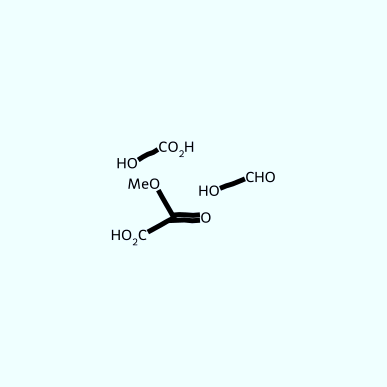 COC(=O)C(=O)O.O=C(O)O.O=CO